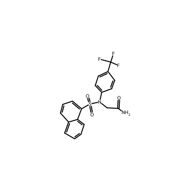 NC(=O)CN(c1ccc(C(F)(F)F)cc1)S(=O)(=O)c1cccc2ccccc12